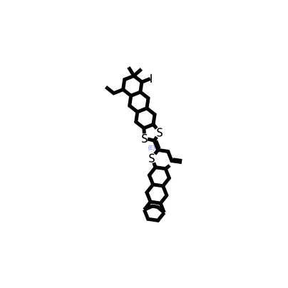 C=CC/C(SC1CC2CC3C4CCC(CC4)C3CC2CC1C)=C1/SC2CC3CC4C(CC)CC(C)(C)C(I)C4CC3CC2S1